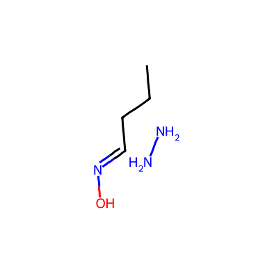 CCCC=NO.NN